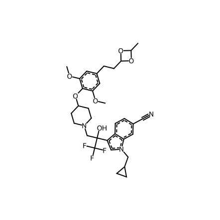 COc1cc(CCC2OC(C)O2)cc(OC)c1OC1CCN(CC(O)(c2cn(CC3CC3)c3cc(C#N)ccc23)C(F)(F)F)CC1